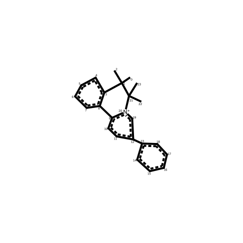 CC1(C)c2ccccc2-c2ccc(-c3ccccc3)c[n+]2C1(C)C